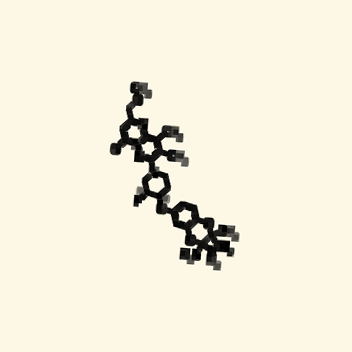 BC1(B)Oc2ccc(O[C@@H]3CCN(c4nn5c(=O)cc(COC)nc5c(C)c4C)C[C@@H]3F)cc2OC1(B)B